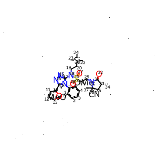 COc1cccc(OC)c1-n1c(-c2ccco2)nnc1N(CC[Si](C)(C)C)S(=O)(=O)CCN1C(=O)[C@H](C)C[C@]1(C)C#N